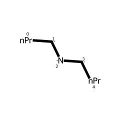 CCC[CH][N][CH]CCC